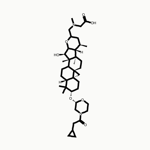 C[C@@H]1CC(CN(C)CC(=O)O)OC2[C@H]1[C@@]1(C)CC[C@@]34C[C@@]35CC[C@H](O[C@H]3CN(C(=O)CC6CC6)CCO3)C(C)(C)[C@@H]5CCC4[C@]1(C)[C@H]2O